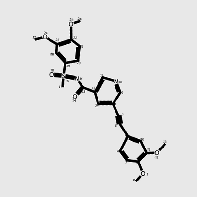 COc1ccc(C#Cc2cncc(C(=O)N=S(C)(=O)c3ccc(OC)c(OC)c3)c2)cc1OC